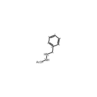 CC(=O)ONNCc1ccccc1